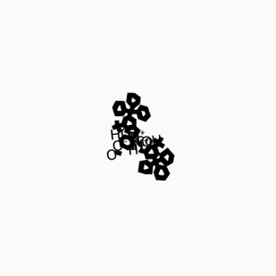 CC(=O)[O-].CC(C)(C)c1cc(C(c2ccccc2)(c2ccccc2)c2ccccc2)cc(C=[N+]2[Co][N+](=Cc3cc(C(c4ccccc4)(c4ccccc4)c4ccccc4)cc(C(C)(C)C)c3O)[C@@H]3CCCC[C@H]32)c1O